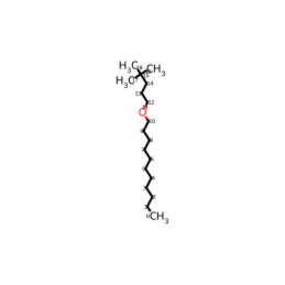 CCCCCCCCCCCOCCCC(C)(C)C